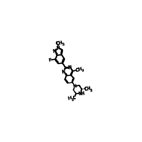 Cc1nc(-c2cc(F)c3nn(C)cc3c2)nc2ccc(N3C[C@H](C)N[C@@H](C)C3)cc12